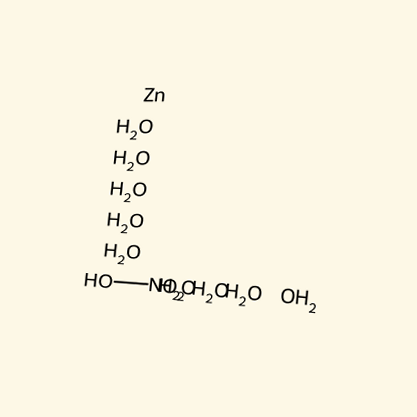 O.O.O.O.O.O.O.O.O.O=[N+]([O-])O.[Zn]